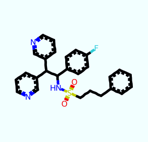 O=S(=O)(CCCc1ccccc1)NC(c1ccc(F)cc1)C(c1cccnc1)c1cccnc1